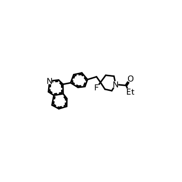 CCC(=O)N1CCC(F)(Cc2ccc(-c3cncc4ccccc34)cc2)CC1